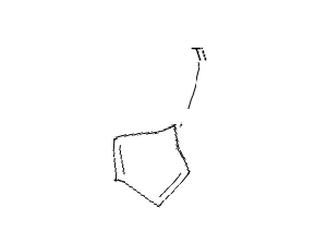 [CH3][Ti].[CH]1C=CC=C1